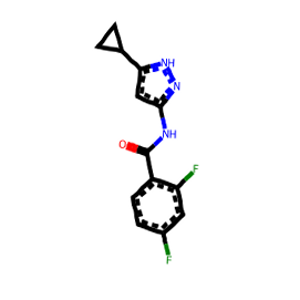 O=C(Nc1cc(C2CC2)[nH]n1)c1ccc(F)cc1F